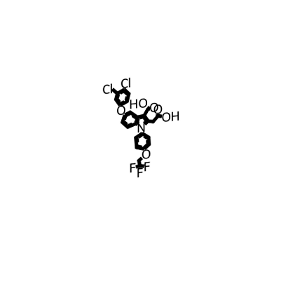 O=C(O)Cc1c(C(=O)O)c2cc(Oc3ccc(Cl)c(Cl)c3)ccc2n1-c1ccc(OCC(F)(F)F)cc1